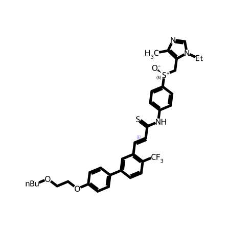 CCCCOCCOc1ccc(-c2ccc(C(F)(F)F)c(/C=C/C(=S)Nc3ccc([S@+]([O-])Cc4c(C)ncn4CC)cc3)c2)cc1